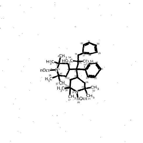 CCCCCCCCN1C(C)(C)CC(C(c2ccccc2)(C2CC(C)(C)N(CCCCCCCC)C(C)(C)C2)C(Cc2ccccc2)(C(=O)O)C(=O)O)CC1(C)C